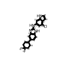 FC1(F)CC=C(c2ccc3[nH]c(Nc4cc(Cl)c5cc[nH]c5c4)nc3c2)CC1